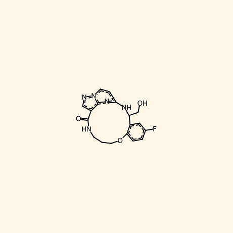 O=C1NCCCOc2ccc(F)cc2C(CO)Nc2ccn3ncc1c3n2